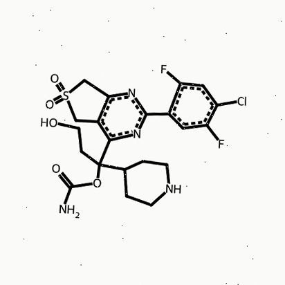 NC(=O)OC(CCO)(c1nc(-c2cc(F)c(Cl)cc2F)nc2c1CS(=O)(=O)C2)C1CCNCC1